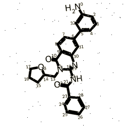 Nc1cccc(-c2ccc3c(=O)n(CC4CCCO4)c(NC(=O)c4ccccc4)nc3c2)c1